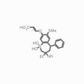 CCCC1(CC)CC(c2ccccc2)c2cc(SC)c(O/C=C/C(=O)O)cc2S(O)(O)C1